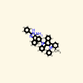 CC1CC=Cc2c1n(-c1ccccc1)c1c2c2ccccc2c2c1c1ccccc1n2-c1ccc([C@]2(N)NC(c3ccccc3)=NC2c2ccccc2)cc1